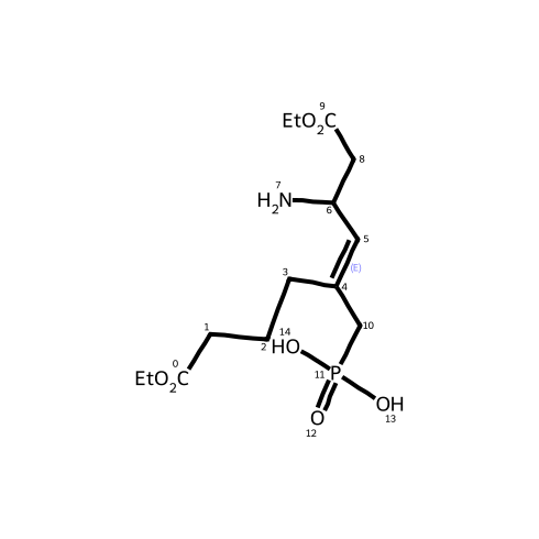 CCOC(=O)CCC/C(=C\C(N)CC(=O)OCC)CP(=O)(O)O